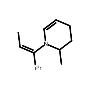 C/C=C(/C(C)C)N1C=CCCC1C